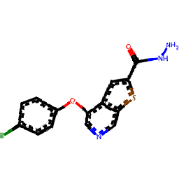 NNC(=O)c1cc2c(Oc3ccc(Cl)cc3)cncc2s1